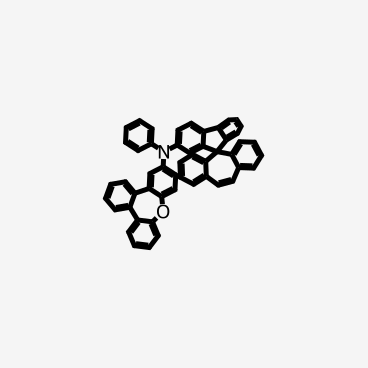 C1=Cc2ccccc2C2(c3ccccc31)c1ccccc1-c1ccc(N(c3ccccc3)c3ccc4c(c3)-c3ccccc3-c3ccccc3O4)cc12